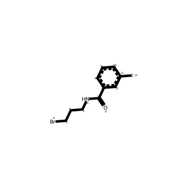 O=C(NCCCBr)c1cccc(I)c1